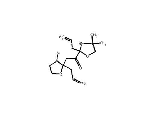 C=CCC1(C(=O)CC2(CC=C)OCCN2C(C)=O)NC(C)(C)CO1